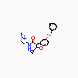 O=C(N[C@H]1CCNC1)c1c(C2CC2)oc2ccc(OCc3ccccc3)cc12